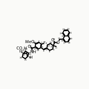 COc1cc(F)c(C=C2CCC(C)(C(=O)OCc3cccc4ccccc34)CC2)cc1C(=O)N[C@@H]1[C@H]2CC[C@H](C2)[C@@H]1C(=O)O